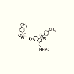 CC(=O)NCCc1cn(S(=O)(=O)c2ccc(C)cc2)c2ccc(OCCOS(=O)(=O)c3ccc(C)cc3)cc12